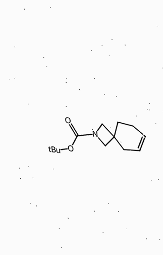 CC(C)(C)OC(=O)N1CC2(CC=CCC2)C1